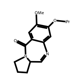 COc1cc2c(cc1OC(C)C)N=CC1CCCN1C2=O